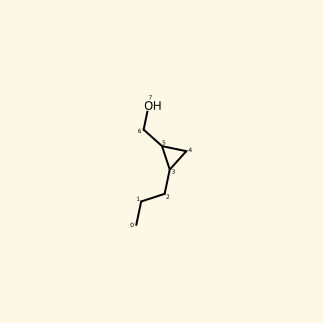 CCCC1CC1CO